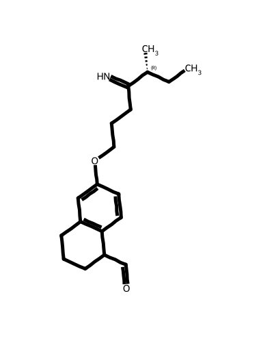 CC[C@@H](C)C(=N)CCCOc1ccc2c(c1)CCCC2C=O